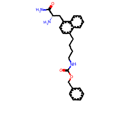 NC(=O)[C@@H](N)Cc1ccc(CCCCNC(=O)OCc2ccccc2)c2ccccc12